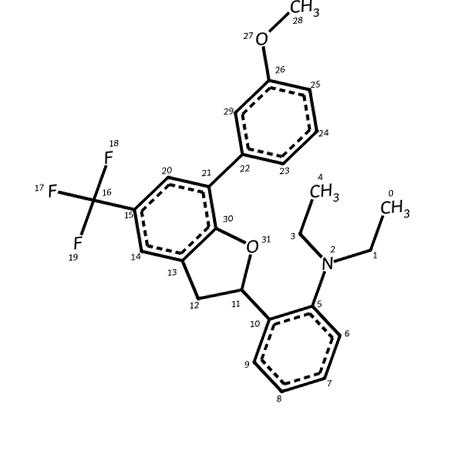 CCN(CC)c1ccccc1C1Cc2cc(C(F)(F)F)cc(-c3cccc(OC)c3)c2O1